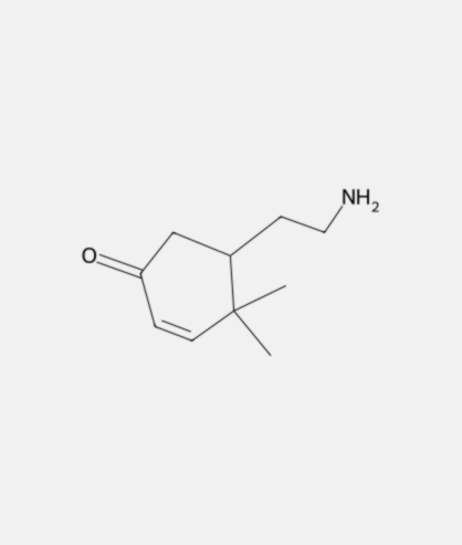 CC1(C)C=CC(=O)CC1CCN